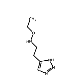 CCONCCc1nnn[nH]1